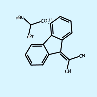 CCCCC(CCC)C(=O)O.N#CC(C#N)=C1c2ccccc2-c2ccccc21